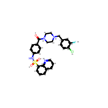 O=C(c1ccc(NS(=O)(=O)c2cccc3cccnc23)cc1)N1CCN(Cc2ccc(Cl)c(F)c2)CC1